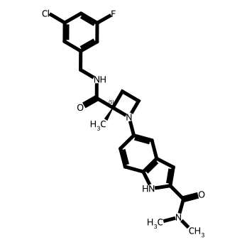 CN(C)C(=O)c1cc2cc(N3CC[C@@]3(C)C(=O)NCc3cc(F)cc(Cl)c3)ccc2[nH]1